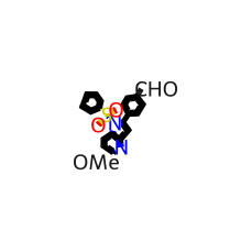 COc1ccc2c(cc(-c3ccc(C=O)cc3)n2S(=O)(=O)c2ccccc2)n1